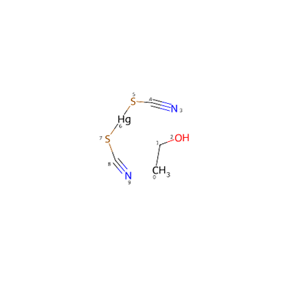 CCO.N#C[S][Hg][S]C#N